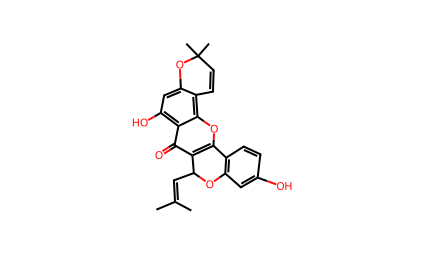 CC(C)=CC1Oc2cc(O)ccc2-c2oc3c4c(cc(O)c3c(=O)c21)OC(C)(C)C=C4